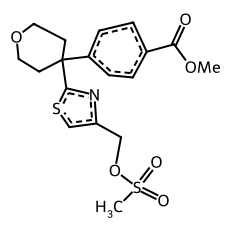 COC(=O)c1ccc(C2(c3nc(COS(C)(=O)=O)cs3)CCOCC2)cc1